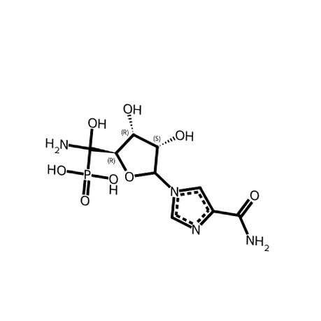 NC(=O)c1cn(C2O[C@@H](C(N)(O)P(=O)(O)O)[C@H](O)[C@@H]2O)cn1